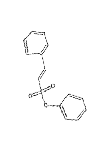 O=S(=O)(C=Cc1ccccc1)Oc1ccccc1